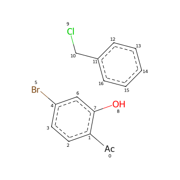 CC(=O)c1ccc(Br)cc1O.ClCc1ccccc1